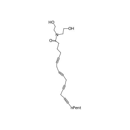 CCCCCC#CCC#CCC#CCC#CCCCC(=O)N(CCO)CCO